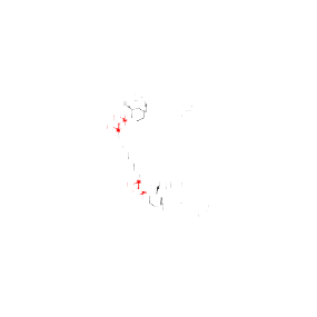 CCCC=C1C=C(C(=O)O)C=CC1C(=O)OC(=O)CCCCCCCCC(=O)OC(=O)C1C=CC(C(=O)O)=CC1=CCCC